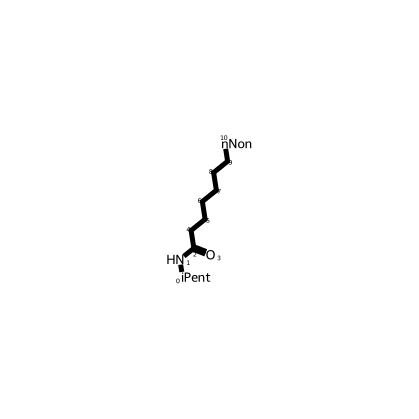 [CH2]CCC([CH2])NC(=O)CCCCCCCCCCCCCCC